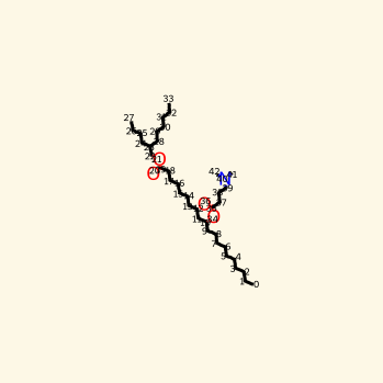 CCCCCCCCCCC(CCCCCCCCC(=O)OCC(CCCC)CCCCCC)OC(=O)CCCN(C)C